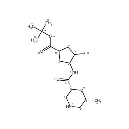 C[C@@H]1CNC[C@H](C(=O)NC2CN(C(=O)OC(C)(C)C)CC2F)O1